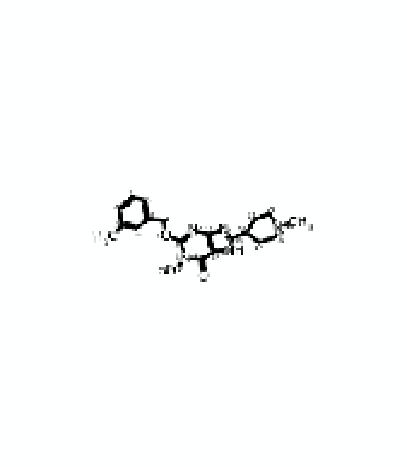 CCCn1c(OCc2cccc(C)c2)nc2nc(C3CCN(C)CC3)[nH]c2c1=O